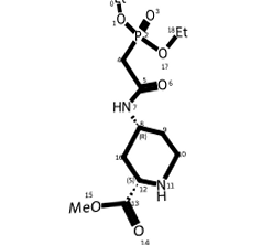 CCOP(=O)(CC(=O)N[C@@H]1CCN[C@H](C(=O)OC)C1)OCC